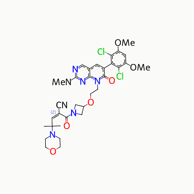 CNc1ncc2cc(-c3c(Cl)c(OC)cc(OC)c3Cl)c(=O)n(CCOC3CN(C(=O)/C(C#N)=C\C(C)(C)N4CCOCC4)C3)c2n1